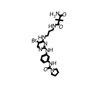 CC(C)(C(N)=O)C(=O)NCCCNc1nc(Nc2cccc(NC(=O)N3CCCC3)c2)ncc1Br